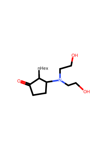 CCCCCCC1C(=O)CCC1N(CCO)CCO